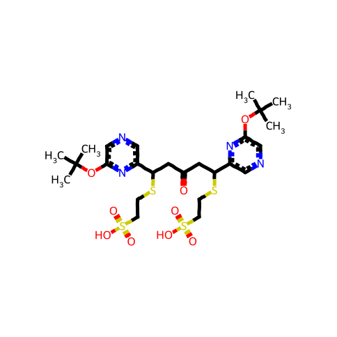 CC(C)(C)Oc1cncc(C(CC(=O)CC(SCCS(=O)(=O)O)c2cncc(OC(C)(C)C)n2)SCCS(=O)(=O)O)n1